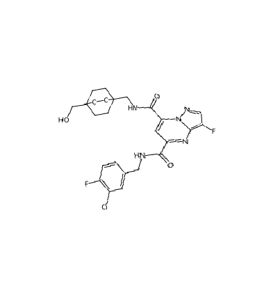 O=C(NCc1ccc(F)c(Cl)c1)c1cc(C(=O)NCC23CCC(CO)(CC2)CC3)n2ncc(F)c2n1